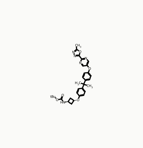 Cc1nnc(-c2ncc(Oc3ccc(C(C)(C)c4ccc(O[C@H]5C[C@H](NC(=O)OC(C)(C)C)C5)cc4)cc3)cn2)o1